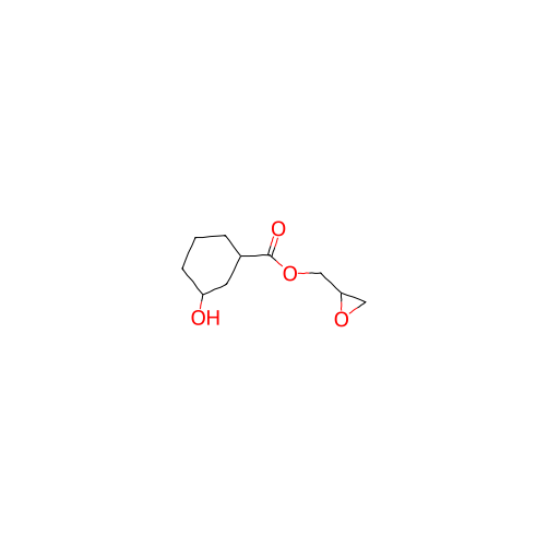 O=C(OCC1CO1)C1CCCC(O)C1